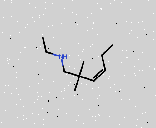 CC/C=C\C(C)(C)CNCC